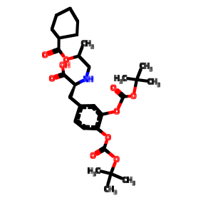 CC(CN[C@@H](Cc1ccc(OC(=O)OC(C)(C)C)c(OC(=O)OC(C)(C)C)c1)C(=O)O)OC(=O)C1CCCCC1